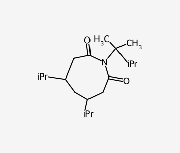 CC(C)C1CC(=O)N(C(C)(C)C(C)C)C(=O)CC(C(C)C)C1